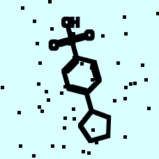 O=S(=O)(O)c1ccc(C2CCCC2)cc1